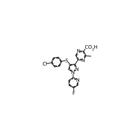 Cc1nc(-c2nn(-c3ccc(F)cn3)cc2Sc2ccc(Cl)cc2)cnc1C(=O)O